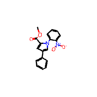 COC(=O)c1cc(-c2ccccc2)cn1-c1ccccc1[N+](=O)[O-]